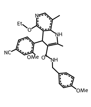 CCOc1ncc(C)c2c1C(c1ccc(C#N)cc1OC)C(C(=O)NCc1ccc(OC)cc1)=C(C)N2